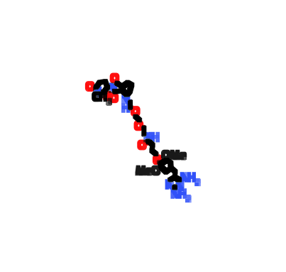 COc1cc(Cc2cnc(N)nc2N)cc(OC)c1OCCCC(=O)NCCOCCOCCNc1cccc2c1C(=O)N(C1CCC(=O)N(C)C1=O)C2=O